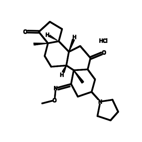 CON=C1CC(N2CCCC2)CC2C(=O)C[C@@H]3[C@@H](CC[C@]4(C)C(=O)CC[C@@H]34)[C@@]12C.Cl